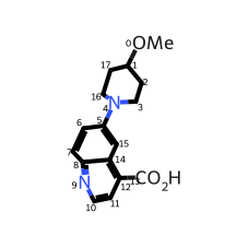 COC1CCN(c2ccc3nccc(C(=O)O)c3c2)CC1